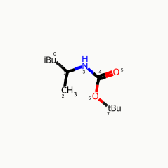 CCC(C)C(C)NC(=O)OC(C)(C)C